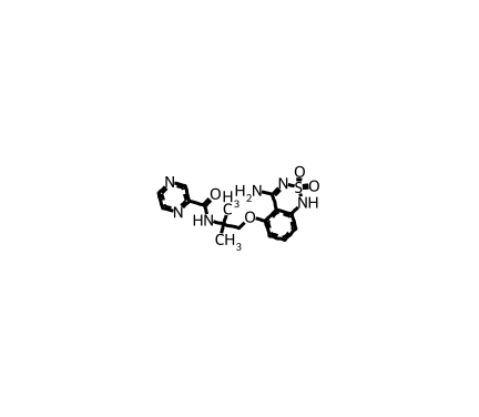 CC(C)(COc1cccc2c1C(N)=NS(=O)(=O)N2)NC(=O)c1cnccn1